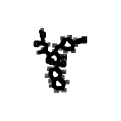 COC(=O)CN(C)C(=O)C(Cc1ccc(C#N)cc1)NS(=O)(=O)c1ccc2ccccc2c1